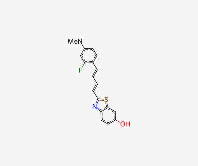 CNc1ccc(/C=C/C=C/c2nc3ccc(O)cc3s2)c(F)c1